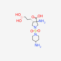 NC1CCN(S(=O)(=O)N2C[C@H](CCCB(O)O)[C@](N)(C(=O)O)C2)CC1